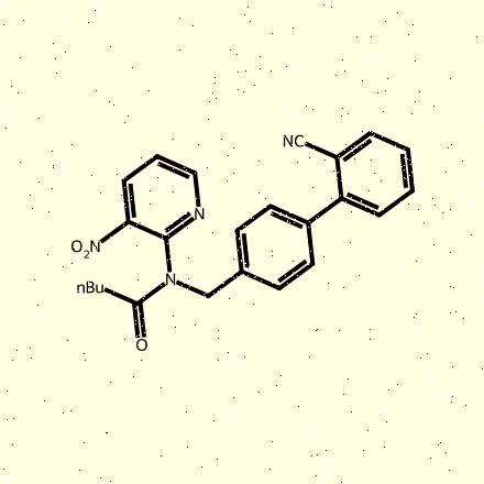 CCCCC(=O)N(Cc1ccc(-c2ccccc2C#N)cc1)c1ncccc1[N+](=O)[O-]